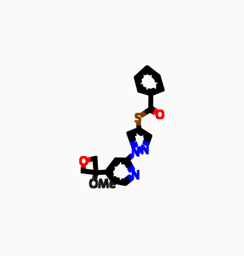 COC1(c2ccnc(-n3cc(SC(=O)c4ccccc4)cn3)c2)COC1